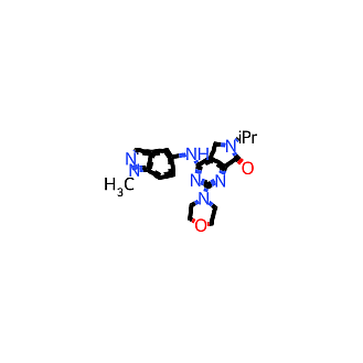 CC(C)N1Cc2c(Nc3ccc4c(cnn4C)c3)nc(N3CCOCC3)nc2C1=O